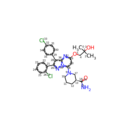 CC(C)(O)COc1cc(N2CCC[C@H](C(N)=O)C2)n2nc(-c3ccccc3Cl)c(-c3ccc(Cl)cc3)c2n1